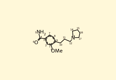 COc1cc(C(N)=O)ccc1CCCN1CCCC1